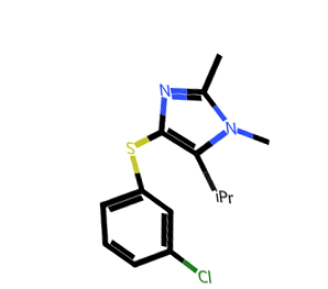 Cc1nc(Sc2cccc(Cl)c2)c(C(C)C)n1C